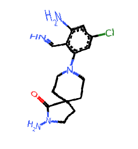 N=Cc1c(N)cc(Cl)cc1N1CCC2(CCN(N)C2=O)CC1